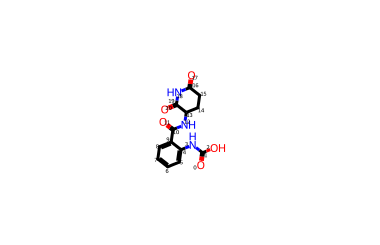 O=C(O)Nc1ccccc1C(=O)NC1CCC(=O)NC1=O